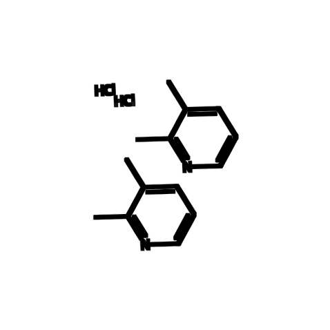 Cc1cccnc1C.Cc1cccnc1C.Cl.Cl